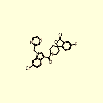 O=C1OC2(CCN(C(=O)c3cn(Cc4cnccn4)c4cc(Cl)ccc34)CC2)c2ccc(F)cc21